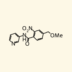 COCc1ccc(C(=O)Nc2cccnc2)c([N+](=O)[O-])c1